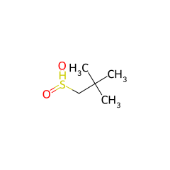 CC(C)(C)C[SH](=O)=O